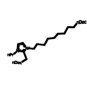 CCCCCCCCCCCCCCCCCCC[n+]1ccn(CCC)c1CCCCCCCCCCC